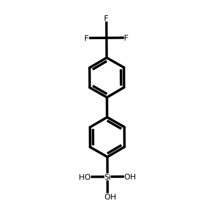 O[Si](O)(O)c1ccc(-c2ccc(C(F)(F)F)cc2)cc1